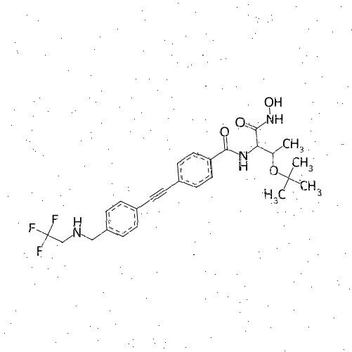 CC(OC(C)(C)C)C(NC(=O)c1ccc(C#Cc2ccc(CNCC(F)(F)F)cc2)cc1)C(=O)NO